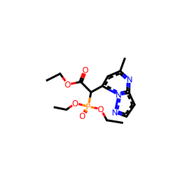 CCOC(=O)C(c1cc(C)nc2ccnn12)P(=O)(OCC)OCC